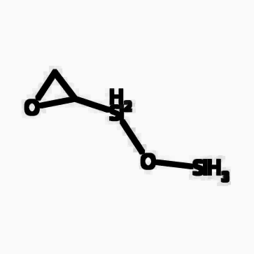 [SiH3]O[SiH2]C1CO1